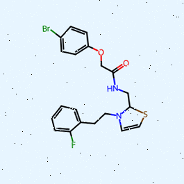 O=C(COc1ccc(Br)cc1)NCC1SC=CN1CCc1ccccc1F